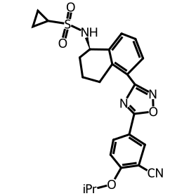 CC(C)Oc1ccc(-c2nc(-c3cccc4c3CCC[C@H]4NS(=O)(=O)C3CC3)no2)cc1C#N